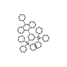 c1ccc(-c2c3ccccc3c(-c3cc([Si](c4ccccc4)(c4ccccc4)c4ccccc4)cc([Si](c4ccccc4)(c4ccccc4)c4ccccc4)c3)c3ccccc23)cc1